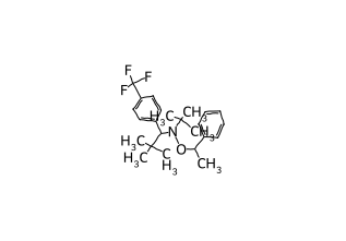 CC(ON(C(c1ccc(C(F)(F)F)cc1)C(C)(C)C)C(C)(C)C)c1ccccc1